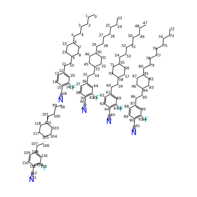 CCCCCCC1CCC(CCc2ccc(C#N)c(F)c2)CC1.CCCCCCCC1CCC(CCc2ccc(C#N)c(F)c2)CC1.CCCCCCCCC1CCC(CCc2ccc(C#N)c(F)c2)CC1.CCCCCCCCCC1CCC(CCc2ccc(C#N)c(F)c2)CC1.CCCC[C@H]1CC[C@H](CCc2ccc(C#N)c(F)c2)CC1